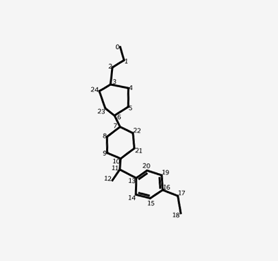 CCCC1CCC(C2CCC(C(C)c3ccc(CC)cc3)CC2)CC1